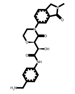 CN1Cc2ccc(N3CCO[C@H]([C@@H](O)C(=O)Nc4ccc(CN)cc4)C3=O)cc2C1=O